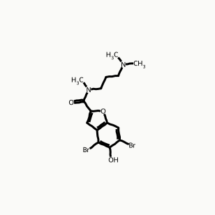 CN(C)CCCN(C)C(=O)c1cc2c(Br)c(O)c(Br)cc2o1